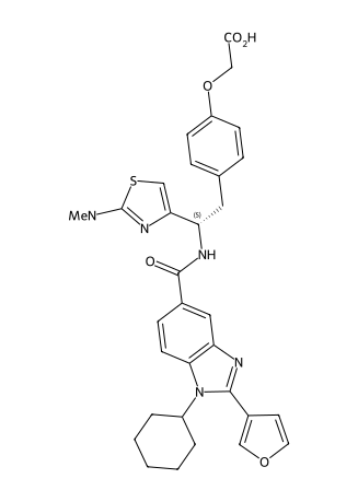 CNc1nc([C@H](Cc2ccc(OCC(=O)O)cc2)NC(=O)c2ccc3c(c2)nc(-c2ccoc2)n3C2CCCCC2)cs1